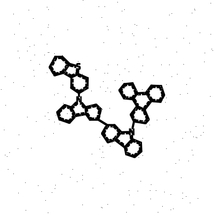 c1ccc2c(c1)sc1ccc(-n3c4ccccc4c4cc(-c5ccc6c7ccccc7n(-c7ccc8c9ccccc9c9ccccc9c8c7)c6c5)ccc43)cc12